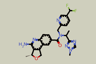 CC(c1ncn(C)n1)N(Cc1ccc(C(F)F)cn1)C(=O)c1ccc2nc(N)c3c(c2c1)CO[C@@H]3C